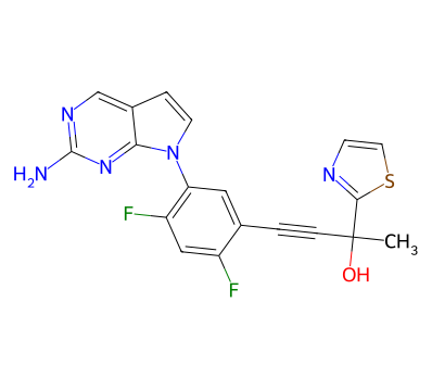 CC(O)(C#Cc1cc(-n2ccc3cnc(N)nc32)c(F)cc1F)c1nccs1